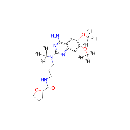 [2H]C([2H])([2H])Oc1cc2nc(N(CCCNC(=O)C3CCCO3)C([2H])([2H])[2H])nc(N)c2cc1OC([2H])([2H])[2H]